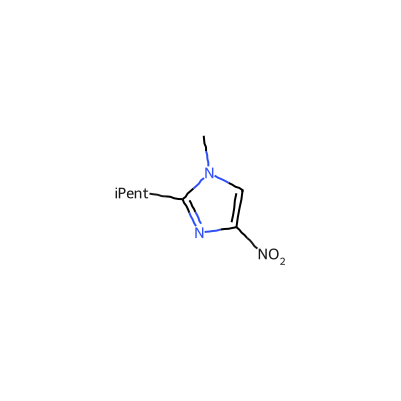 CCCC(C)c1nc([N+](=O)[O-])cn1C